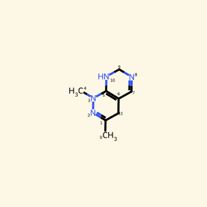 CC1=NN(C)C2=C(C=NCN2)C1